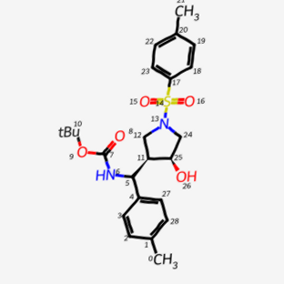 Cc1ccc(C(NC(=O)OC(C)(C)C)[C@H]2CN(S(=O)(=O)c3ccc(C)cc3)C[C@H]2O)cc1